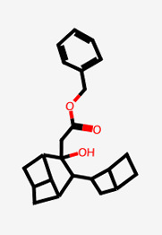 O=C(CC1(O)C2CC3CC(C32)C1C1CC2CCC21)OCc1ccccc1